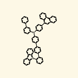 c1ccc(-c2cccc(N(c3ccc(-c4ccc(-c5ccccc5-n5c6ccccc6c6ccccc65)cc4)cc3)c3ccc(-c4cc5ccccc5c5ccccc45)cc3)c2)cc1